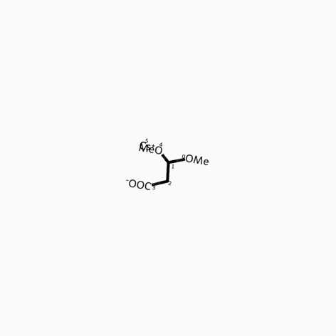 COC(CC(=O)[O-])OC.[Cs+]